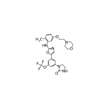 Cc1ccc(OCCN2CCOCC2)cc1Nc1ncc(-c2cc(OC(F)(F)F)cc(N3CCNC3=O)c2)o1